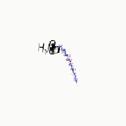 COC1=C(N)C(=O)C(C)=C(C/C=C(\C)CC/C=C(\C)CC/C=C(\C)CC/C=C(\C)CC/C=C(\C)CC/C=C(\C)CC/C=C(\C)CC/C=C(\C)CCC=C(C)C)C1=O